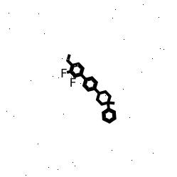 CCc1ccc(-c2ccc(C3CCC(C)(c4ccccc4)CC3)cc2)c(F)c1F